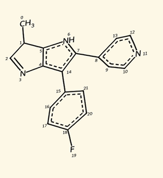 CC1C=Nc2c1[nH]c(-c1ccncc1)c2-c1ccc(F)cc1